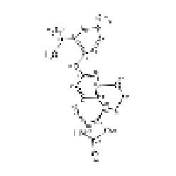 CC(O)c1cc(C(F)(F)F)ccc1Oc1ccc2c(c1)OCC[C@H]2C1OC(=O)NC1=O